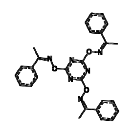 CC(=NOc1nc(ON=C(C)c2ccccc2)nc(ON=C(C)c2ccccc2)n1)c1ccccc1